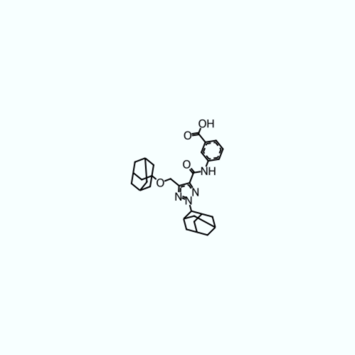 O=C(O)c1cccc(NC(=O)c2nn(C3C4CC5CC(C4)CC3C5)nc2COC23CC4CC(CC(C4)C2)C3)c1